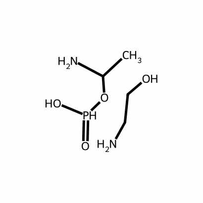 CC(N)O[PH](=O)O.NCCO